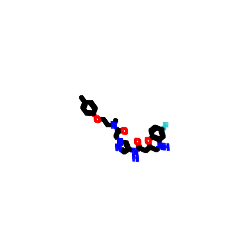 Cc1ccc(OCCN(C)C(=O)Cn2cc(NC(=O)CC3CNc4cc(F)ccc4O3)cn2)cc1